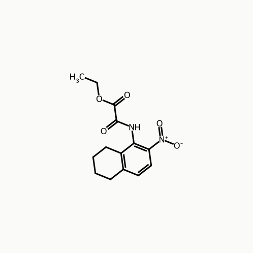 CCOC(=O)C(=O)Nc1c([N+](=O)[O-])ccc2c1CCCC2